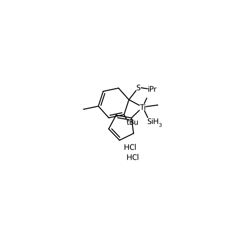 CC1=CC[C](SC(C)C)([Ti]([CH3])([CH3])([SiH3])[C]2=CC=CC2)C(C(C)(C)C)=C1.Cl.Cl